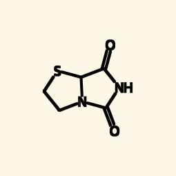 O=C1NC(=O)N2CCSC12